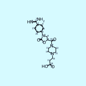 N=C(N)c1ccc(N2CC(C(=O)N3CCN(CCC(=O)O)CC3)OC2=O)cc1